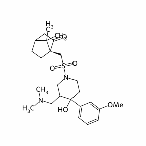 COc1cccc(C2(O)CCN(S(=O)(=O)C[C@]34CCC(CC3=O)C4(C)C)CC2CN(C)C)c1